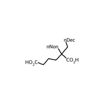 CCCCCCCCCCCC(CCCCCCCCC)(CCCC(=O)O)C(=O)O